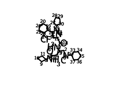 CN(C[C@@H](CC(=O)NC1CCC1)NC(=O)c1cc(-c2ccccc2C(F)(F)F)n(C2CCCC2)n1)C1CCCCC1